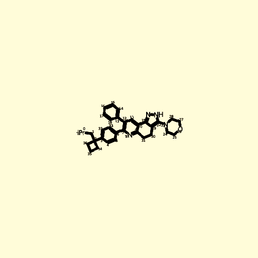 C[C](C)CC1(c2ccc(-c3nc4c(cc3-c3ccccc3)-c3n[nH]c(N5CCOCC5)c3CC4)cc2)CCC1